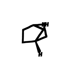 C1C[C@H]2CNC1C2